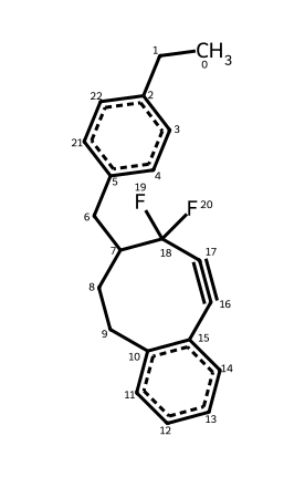 CCc1ccc(CC2CCc3ccccc3C#CC2(F)F)cc1